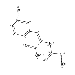 COC(=O)/C(=C\c1cccc(Br)c1)NC(=O)OC(C)(C)C